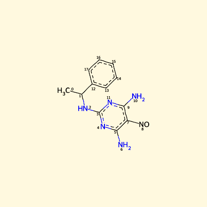 CC(Nc1nc(N)c(N=O)c(N)n1)c1ccccc1